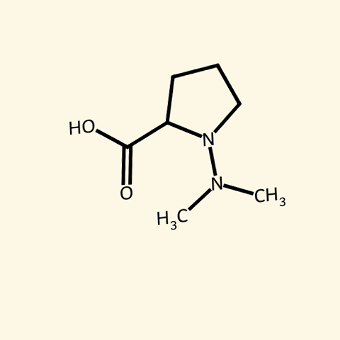 CN(C)N1CCCC1C(=O)O